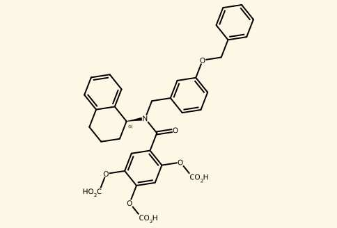 O=C(O)Oc1cc(OC(=O)O)c(C(=O)N(Cc2cccc(OCc3ccccc3)c2)[C@H]2CCCc3ccccc32)cc1OC(=O)O